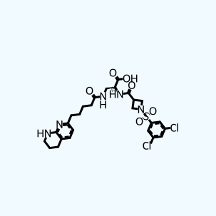 O=C(CCCCc1ccc2c(n1)NCCC2)NC[C@H](NC(=O)C1CN(S(=O)(=O)c2cc(Cl)cc(Cl)c2)C1)C(=O)O